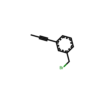 CC#Cc1cccc(CBr)c1